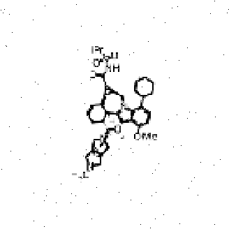 COc1ccc(C2CCCCC2)c2c1cc1n2CC2=C(C(=O)NS(=O)(=O)C(C)C)C2=C2C=CC[C@@H](C(=O)N3CC45CN(C)CC4(CN(C)C5)C3)[C@@H]21